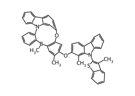 CB1c2cc(C)c(Oc3ccc4c5ccccc5n(-c5sc6ccccc6c5C)c4c3C)cc2Oc2ccc3c4ccccc4n(c3c2)-c2ccccc21